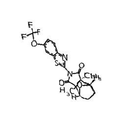 CC12C(=O)N(c3nc4ccc(OC(F)(F)F)cc4s3)C(=O)[C@@]1(C)[C@@H]1CC[C@H]2O1